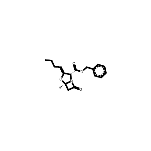 CCCC=C1O[C@@H]2CC(=O)N2[C@H]1C(=O)OCc1ccccc1